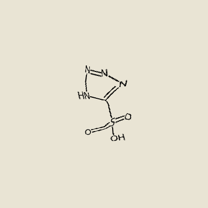 O=S(=O)(O)c1nnn[nH]1